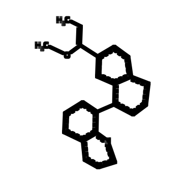 CC=C(OC)c1ccc2cccc(-c3cccc4cccnc34)c2c1